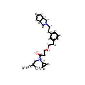 COC(CN(C(=O)CCOCCc1cccc(CCN2CC3CCCC3C2)c1)C1CC1)OC